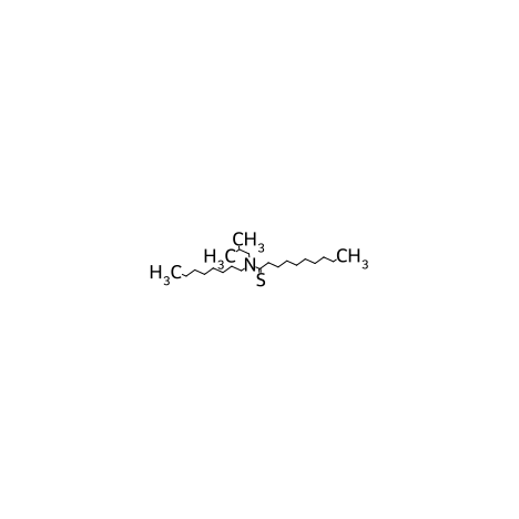 CCCCCCCCCC(=S)N(CCCCCCCC)CC(C)C